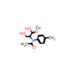 CC(=O)N(c1ccc(C)cc1)C(CO)C(=O)O.[Cu]